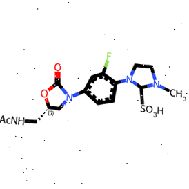 CC(=O)NC[C@H]1CN(c2ccc(N3CCN(C)C3S(=O)(=O)O)c(F)c2)C(=O)O1